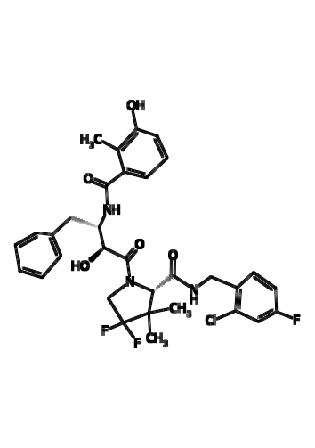 Cc1c(O)cccc1C(=O)N[C@@H](Cc1ccccc1)[C@H](O)C(=O)N1CC(F)(F)C(C)(C)[C@H]1C(=O)NCc1ccc(F)cc1Cl